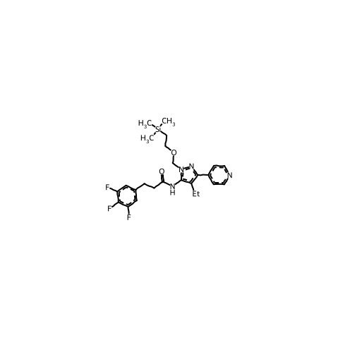 CCc1c(-c2ccncc2)nn(COCC[Si](C)(C)C)c1NC(=O)CCc1cc(F)c(F)c(F)c1